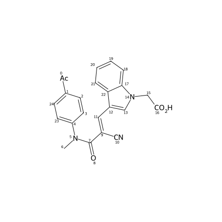 CC(=O)c1ccc(N(C)C(=O)/C(C#N)=C/c2cn(CC(=O)O)c3ccccc23)cc1